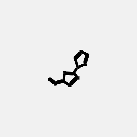 O=S=C1N=NC(n2cncn2)=N1